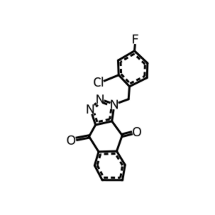 O=C1c2ccccc2C(=O)c2c1nnn2Cc1ccc(F)cc1Cl